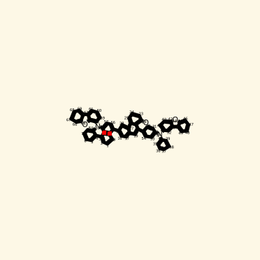 c1ccc(-c2ccccc2N(c2ccc(-c3ccc4cc5c6c(cccc6c4c3)Oc3cc(N(c4ccccc4)c4ccc6oc7ccccc7c6c4)ccc3-5)cc2)c2cccc3c2oc2ccccc23)cc1